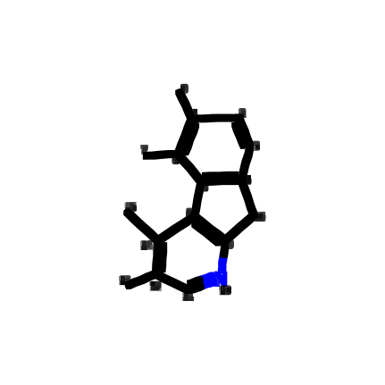 Cc1ccc2c(c1C)-c1c(ncc(C)c1C)C2